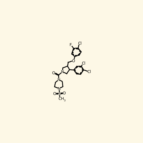 CS(=O)(=O)N1CCN(C(=O)N2CC(COc3ccc(Cl)c(F)c3)C(c3ccc(Cl)c(Cl)c3)C2)CC1